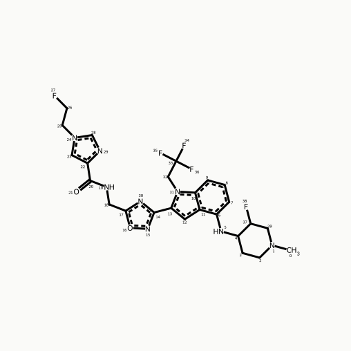 CN1CCC(Nc2cccc3c2cc(-c2noc(CNC(=O)c4cn(CCF)cn4)n2)n3CC(F)(F)F)C(F)C1